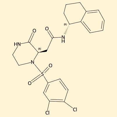 O=C(C[C@@H]1C(=O)NCCN1S(=O)(=O)c1ccc(Cl)c(Cl)c1)N[C@@H]1CCCc2ccccc21